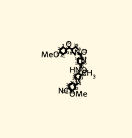 COc1ccc(C(=O)C2CCN(C(=O)c3ccc(C(=O)N[C@@H]4CCN(Cc5ccc(C#N)c(OC)c5)C[C@@H]4C)cn3)CC2)cc1